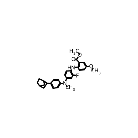 COC(=O)c1cc(OC)ccc1Nc1ccc(N(C)c2ccc(C3CC4CCC3C4)cc2)cc1F